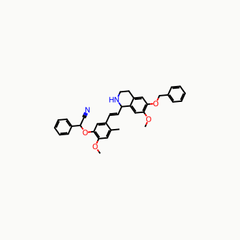 COc1cc2c(cc1OCc1ccccc1)CCNC2/C=C/c1cc(OC(C#N)c2ccccc2)c(OC)cc1C